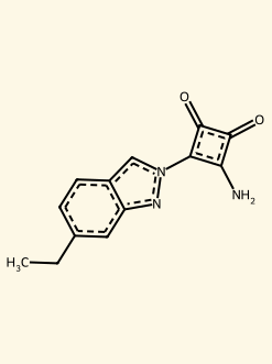 CCc1ccc2cn(-c3c(N)c(=O)c3=O)nc2c1